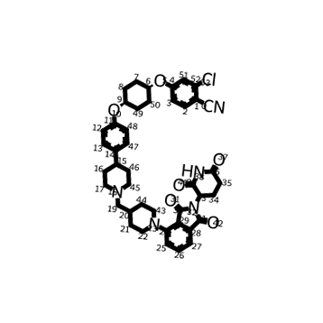 N#Cc1ccc(O[C@H]2CC[C@H](Oc3ccc(C4CCN(CC5CCN(c6cccc7c6C(=O)N(C6CCC(=O)NC6=O)C7=O)CC5)CC4)cc3)CC2)cc1Cl